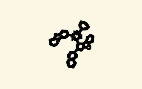 c1ccc(-c2nc(-c3ccc4sc5ccccc5c4c3)nc(-c3cc(-c4ccc5ccccc5c4)cc4oc5ccccc5c34)n2)cc1